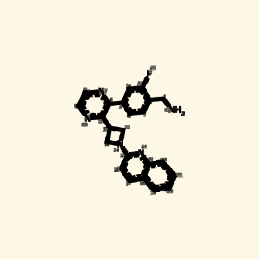 NCc1ccc(-c2nccnc2C2CN(c3ccc4ccccc4n3)C2)cc1F